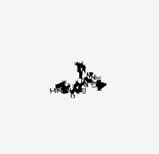 Cc1ccnc(Cn2c(-c3ccc(C(=O)N4CC5(CCN5)C4)cc3Cl)nc3c(OC4(C)CC4)ncnc32)c1